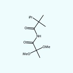 COC(C)(OC)C(=O)NC(=O)C(C)(C)C(C)C